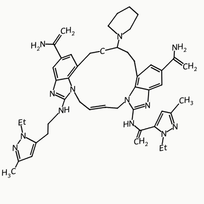 C=C(N)c1cc2c3c(c1)nc(NCCc1cc(C)nn1CC)n3C/C=C/Cn1c(NC(=C)c3cc(C)nn3CC)nc3cc(C(=C)N)cc(c31)CCC(N1CCCCC1)CC2